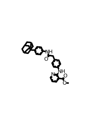 COC(=O)c1cccnc1Nc1ccc(CC(=O)Nc2ccc(C34CC5CC(CC(C5)C3)C4)cc2)cc1